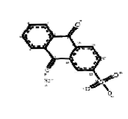 O=C1c2ccccc2C(=O)c2cc(S(=O)(=O)[O-])ccc21.[Na+]